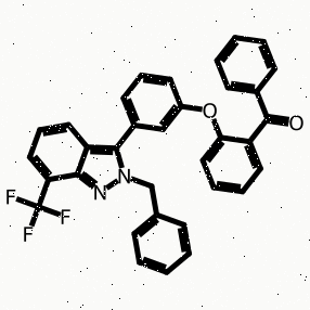 O=C(c1ccccc1)c1ccccc1Oc1cccc(-c2c3cccc(C(F)(F)F)c3nn2Cc2ccccc2)c1